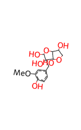 COc1cc(CC2(O)C(O)OC3C(O)COC32O)ccc1O